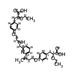 CCOC(Cc1ccc(OCCN(C)c2cccc(CNCCOc3ccc(C[C@H](OCC)C(=O)O)cc3)n2)cc1)C(=O)O